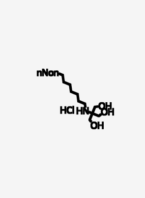 CCCCCCCCCCCCCCCCNC(CO)(CO)CO.Cl